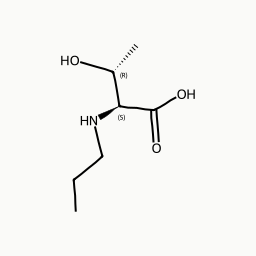 CCCN[C@H](C(=O)O)[C@@H](C)O